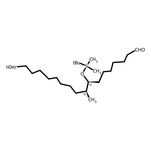 CCCCCCCCCCCCCCCCCC[C@H](C)[C@H](CCCCCCC=O)O[Si](C)(C)C(C)(C)C